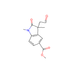 COC(=O)c1ccc2c(c1)C(C)(CC=O)C(=O)N2C